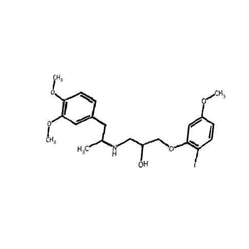 COc1ccc(I)c(OCC(O)CNC(C)Cc2ccc(OC)c(OC)c2)c1